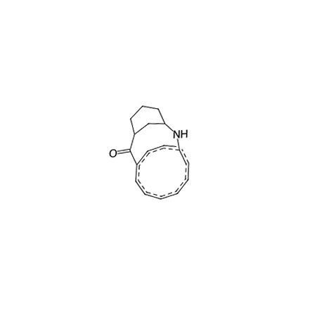 O=C1c2ccccccc(cc2)NC2CCCC1C2